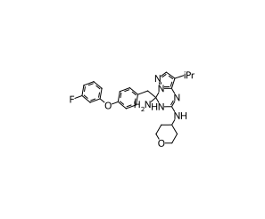 CC(C)c1cnn2c1N=C(NC1CCOCC1)NC2(N)Cc1ccc(Oc2cccc(F)c2)cc1